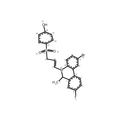 CC1c2cc(F)ccc2-c2cc(Br)ccc2N1C=CCS(=O)(=O)c1ccc(O)cc1